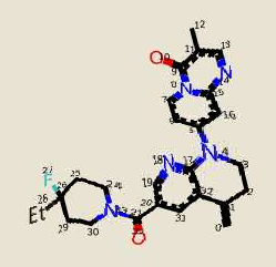 C=C1CCN(c2ccn3c(=O)c(C)cnc3c2)c2ncc(C(=O)N3CCC(F)(CC)CC3)cc21